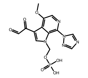 COc1cnc(-n2cncn2)c2c1c(C(=O)C=O)cn2COP(=O)(O)O